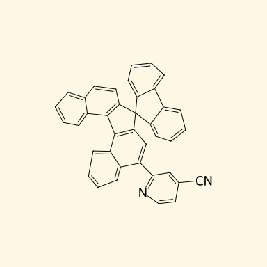 N#Cc1ccnc(-c2cc3c(c4ccccc24)-c2c(ccc4ccccc24)C32c3ccccc3-c3ccccc32)c1